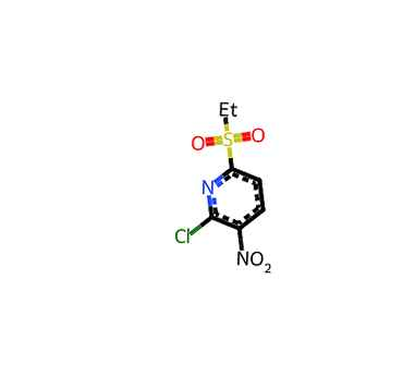 CCS(=O)(=O)c1ccc([N+](=O)[O-])c(Cl)n1